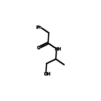 CC(C)CC(=O)NC(C)CO